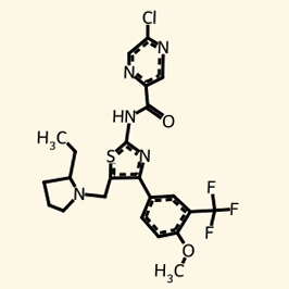 CCC1CCCN1Cc1sc(NC(=O)c2cnc(Cl)cn2)nc1-c1ccc(OC)c(C(F)(F)F)c1